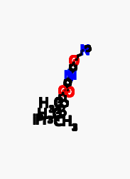 CC(C)CCCC(C)C1CCC2C3CC=C4CC(OC(=O)c5ccc(N=Nc6ccc(OCCCCN7CCCC7)cc6)cc5)CCC4(C)C3CCC12C